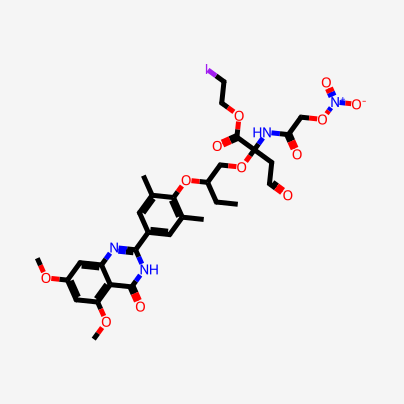 CCC(COC(CC=O)(NC(=O)CO[N+](=O)[O-])C(=O)OCCI)Oc1c(C)cc(-c2nc3cc(OC)cc(OC)c3c(=O)[nH]2)cc1C